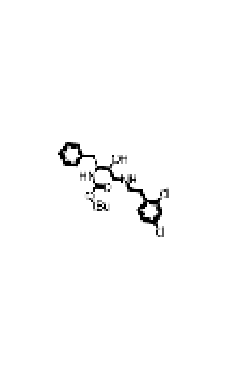 CC(C)(C)OC(=O)N[C@@H](Cc1ccccc1)[C@@H](O)CNCCc1ccc(Cl)cc1Cl